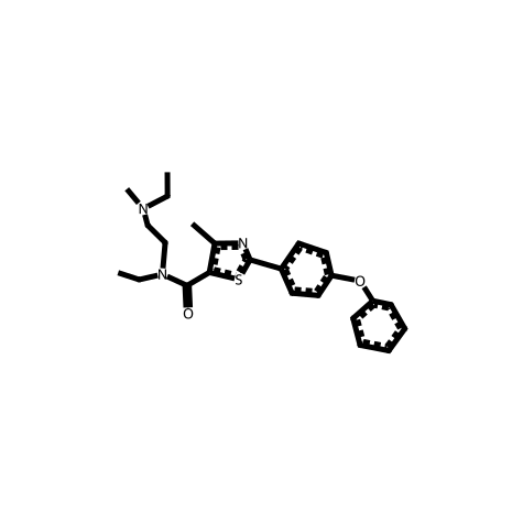 CCN(C)CCN(CC)C(=O)c1sc(-c2ccc(Oc3ccccc3)cc2)nc1C